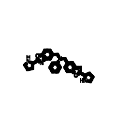 c1ccc(N(Cc2ccc3oc(C4CCCN4)nc3c2)Cc2ccc3oc(C4CCCN4)nc3c2)cc1